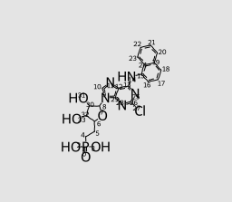 O=P(O)(O)CCC1OC(n2cnc3c(Nc4cccc5ccccc45)nc(Cl)nc32)C(O)C1O